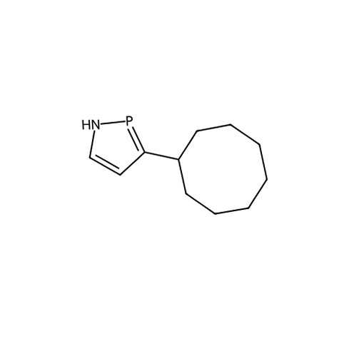 c1cc(C2CCCCCCC2)p[nH]1